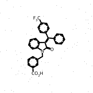 O=C(O)c1cccc(CN2C(=O)/C(=C(\c3ccccc3)c3ccc(C(F)(F)F)cc3)c3ccccc32)c1